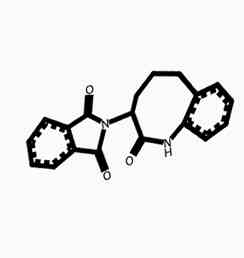 O=C1Nc2ccccc2CCCC1N1C(=O)c2ccccc2C1=O